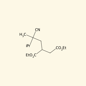 CCOC(=O)CC(CC(C)(C#N)C(C)C)C(=O)OCC